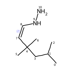 CC(C)CC(C)(C)/C=C\NN